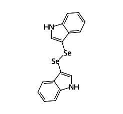 c1ccc2c([Se][Se]c3c[nH]c4ccccc34)c[nH]c2c1